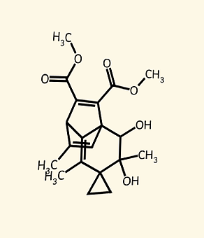 COC(=O)C1=C(C(=O)OC)C23C=C(C)C1C2=C(C)C1(CC1)C(C)(O)C3O